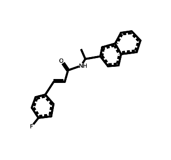 CC(NC(=O)C=Cc1ccc(F)cc1)c1ccc2ccccc2c1